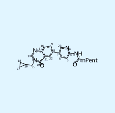 CCCCCC(=O)Nc1ccc(-c2ccc3ncn(CC4CC4)c(=O)c3c2)cn1